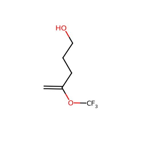 C=C(CCCO)OC(F)(F)F